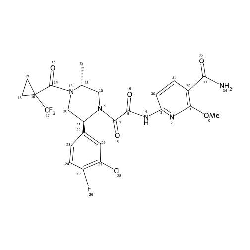 COc1nc(NC(=O)C(=O)N2C[C@@H](C)N(C(=O)C3(C(F)(F)F)CC3)C[C@@H]2c2ccc(F)c(Cl)c2)ccc1C(N)=O